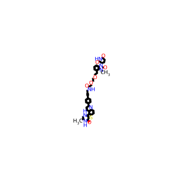 C[C@@H]1CNc2c(sc3ccc4nc(-c5ccc(C#CCNC(=O)COCCOCCc6cccc7c6n(C)c(=O)n7C6CCC(=O)NC6=O)cc5)ccc4c23)C(=O)N1